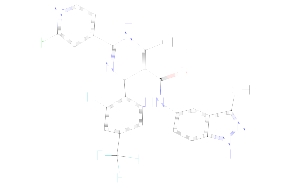 CC1=C(C(=O)Nc2ccc3[nH]nc(C)c3c2)C(c2ccc(C(F)(F)F)cc2F)N=C(c2ccnc(Cl)c2)N1